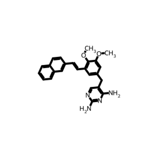 COc1cc(Cc2cnc(N)nc2N)cc(C=Cc2ccc3ccccc3c2)c1OC